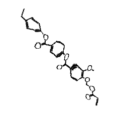 C=CC(=O)OCOc1ccc(C(=O)Oc2ccc(C(=O)Oc3ccc(CC)cc3)cc2)cc1OC